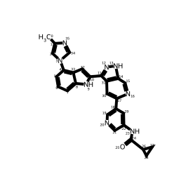 Cc1cn(-c2cccc3[nH]c(-c4n[nH]c5cnc(-c6cncc(NC(=O)C7CC7)c6)cc45)cc23)cn1